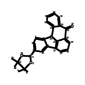 CC1(C)OB(c2ccc3c(c2)c2cccc4c(=O)c5ccccc5n3c42)OC1(C)C